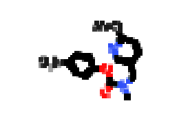 COc1ccc(CN(C)C(=O)Oc2ccc([N+](=O)[O-])cc2)cn1